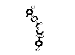 CSc1ccc(-c2nc(CSCC(=O)N3CCN(c4cc(Cl)ccc4C)CC3)c(C)o2)cc1